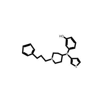 Oc1cccc(N(c2ccsc2)C2CCN(CCCc3ccccc3)CC2)c1